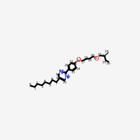 CCCCCCCCc1cnc(-c2ccc(OCCCCOC[C@@H](C)CC)cc2)nc1